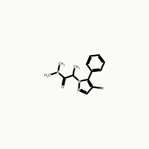 CC(C(=O)N(C)C)n1ncc(Br)c1-c1ccccc1